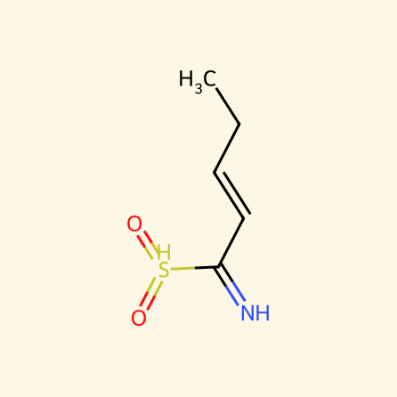 CCC=CC(=N)[SH](=O)=O